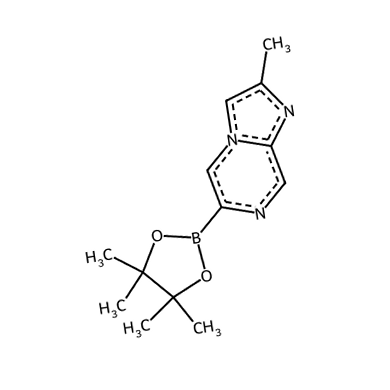 Cc1cn2cc(B3OC(C)(C)C(C)(C)O3)ncc2n1